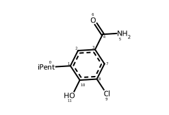 CCCC(C)c1cc(C(N)=O)cc(Cl)c1O